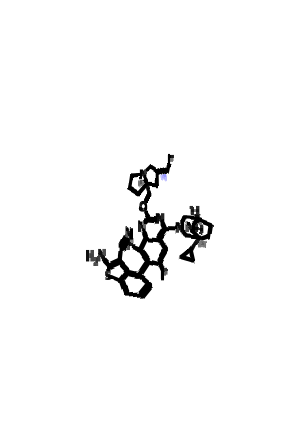 N#Cc1c(N)sc2cccc(-c3c(F)cc4c(N5C[C@@H]6CC[C@](C7CC7)(C5)N6)nc(OC[C@@]56CCCN5C/C(=C\F)C6)nc4c3F)c12